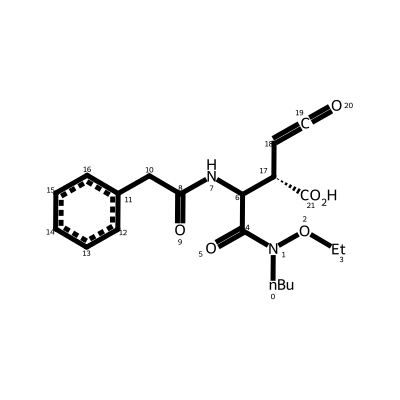 CCCCN(OCC)C(=O)C(NC(=O)Cc1ccccc1)[C@H](C=C=O)C(=O)O